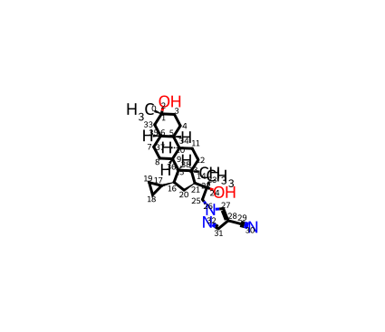 C[C@@]1(O)CC[C@H]2[C@H](CC[C@@H]3[C@@H]2CC[C@@]2(C)[C@H]3[C@H](C3CC3)C[C@@H]2[C@](C)(O)Cn2cc(C#N)cn2)C1